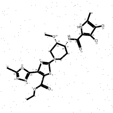 CCOC(=O)c1sc(N2CC[C@@H](NC(=O)c3[nH]c(C)c(Cl)c3Cl)[C@@H](OC)C2)nc1-c1nnc(C)o1